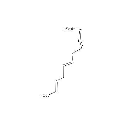 [CH2]CCCCC=C=CCC=CCC=CCCCCCCCC